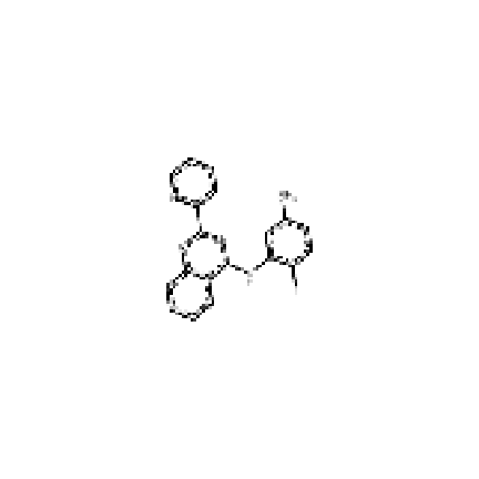 Nc1ccc(F)c(Nc2nc(-c3ccccn3)nc3ccccc23)c1